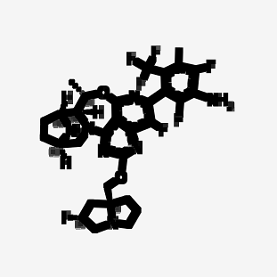 Cc1c(F)c(N)c(F)c(-c2nc3c4c(nc(OC[C@@]56CCCN5C[C@H](F)C6)nc4c2F)N2C[C@H]4CC[C@H](N4)[C@H]2[C@H](C)O3)c1C(F)(F)F